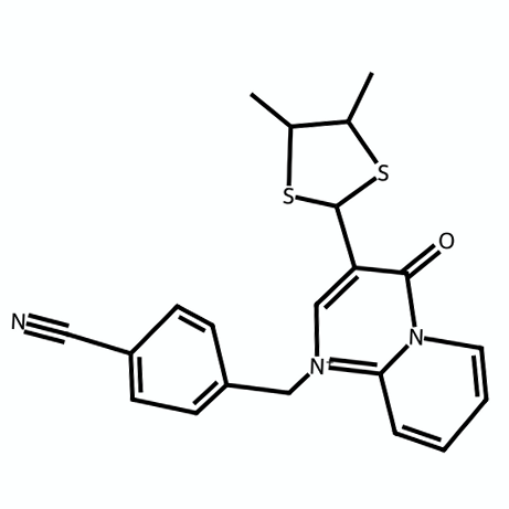 CC1SC(c2c[n+](Cc3ccc(C#N)cc3)c3ccccn3c2=O)SC1C